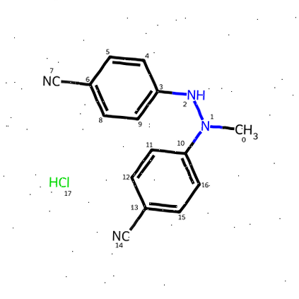 CN(Nc1ccc(C#N)cc1)c1ccc(C#N)cc1.Cl